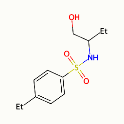 CCc1ccc(S(=O)(=O)NC(CC)CO)cc1